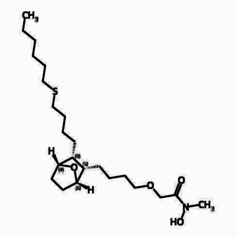 CCCCCCSCCCC[C@@H]1[C@H](CCCCOCC(=O)N(C)O)[C@@H]2CC[C@H]1O2